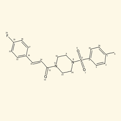 Cc1ccc(S(=O)(=O)N2CCN(C(=O)C=Cc3ccc(F)cc3)CC2)cc1